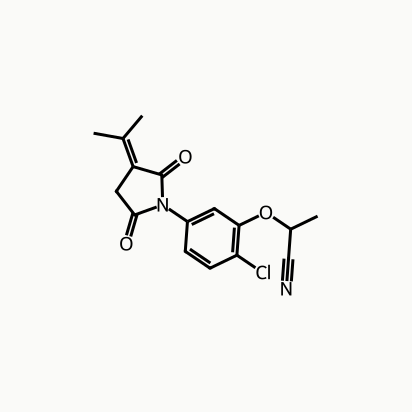 CC(C)=C1CC(=O)N(c2ccc(Cl)c(OC(C)C#N)c2)C1=O